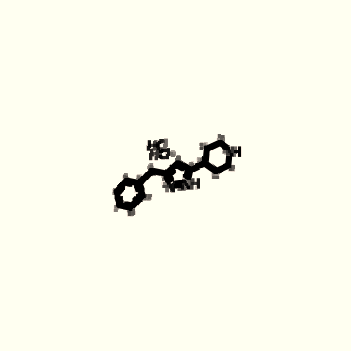 Cl.Cl.c1ccc(Cc2cc(C3CCNCC3)[nH]n2)cc1